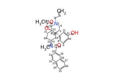 C=CCN1CC[C@@]2(c3cccc(O)c3)C[C@@H](N(C)C(=O)c3ccc4ccccc4c3)CC[C@]2(OC(C)=O)C1